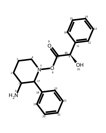 NC1CCCN(OC(=O)[C@H](O)c2ccccc2)C1c1ccccc1